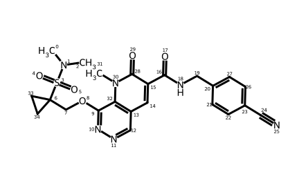 CN(C)S(=O)(=O)C1(COc2nncc3cc(C(=O)NCc4ccc(C#N)cc4)c(=O)n(C)c23)CC1